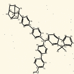 COc1ccc(-c2ccc(N(c3ccc(-c4ccc(C56CC7CC(CC(C7)C5)C6)cc4)cc3)c3ccc4c(c3)C(C)(C)c3ccccc3-4)cc2)cc1